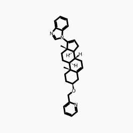 C[C@]12CC[C@H](OCc3ccccn3)CC1=CC[C@@H]1[C@@H]2CC[C@]2(C)C(n3cnc4ccccc43)=CC[C@@H]12